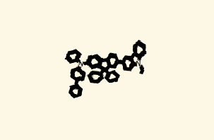 CCn1c2ccccc2c2cc(-c3ccc4c(c3)C(c3ccccc3)(c3ccccc3)c3cc(N(c5ccccc5)c5ccc(-c6ccccc6)cc5)ccc3-4)ccc21